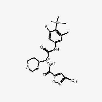 C[Si](C)(C)c1c(F)cc(NC(=O)[C@H](NC(=O)c2cc(O)no2)C2CCOCC2)cc1F